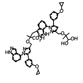 CC(Cc1n[nH]c2c(-n3nc(COC(C)(C)C(O)O)cc3-c3cccc(OC4CC4)c3)cccc12)(OCc1cc(-c2cccc(OC3CC3)c2)n(-c2cccc3[nH]ncc23)n1)C(=O)O